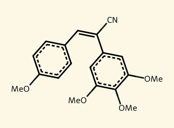 COc1ccc(C=C(C#N)c2cc(OC)c(OC)c(OC)c2)cc1